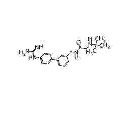 CC(C)(C)NCC(=O)NCc1cccc(-c2ccc(NC(=N)N)cc2)c1